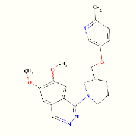 COc1cc2cnnc(N3CCCC(COc4ccc(C)nc4)C3)c2cc1OC